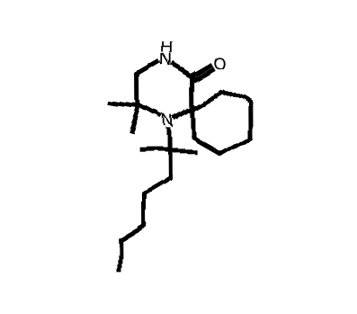 CCCCCC(C)(C)N1C(C)(C)CNC(=O)C12CCCCC2